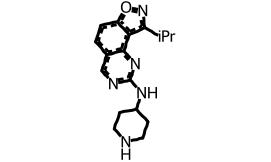 CC(C)c1noc2ccc3cnc(NC4CCNCC4)nc3c12